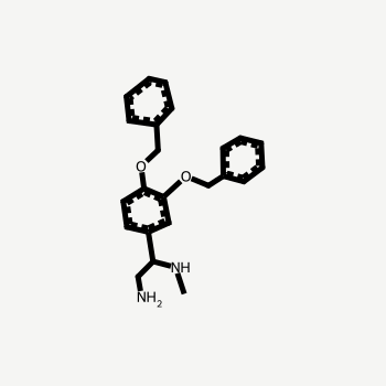 CNC(CN)c1ccc(OCc2ccccc2)c(OCc2ccccc2)c1